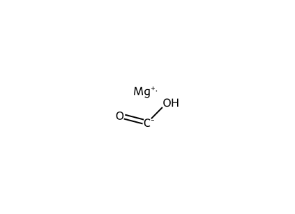 O=[C-]O.[Mg+]